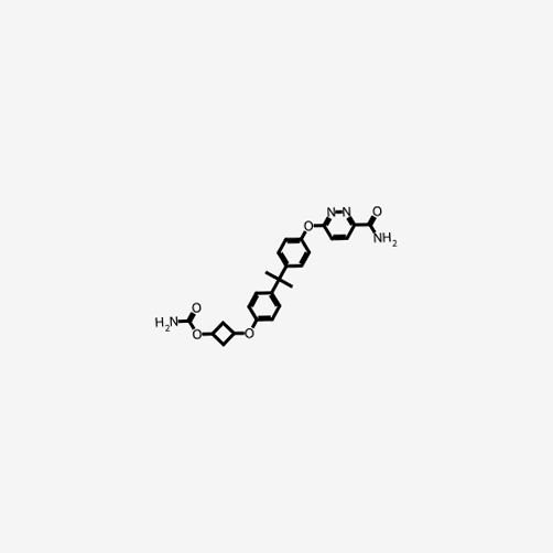 CC(C)(c1ccc(Oc2ccc(C(N)=O)nn2)cc1)c1ccc(OC2CC(OC(N)=O)C2)cc1